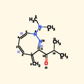 C=C1/C=C\C=C/N(N(C)C)/N=C\1C(=O)C(C)C